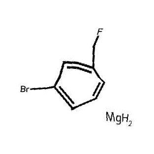 Fc1cccc(Br)c1.[MgH2]